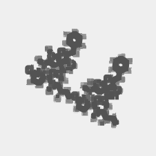 CC[C@H](C)[C@@H](CONC(CCSC)(C(=O)O)C(=O)CCc1ccccc1)N(C)C(=O)[C@@H]1CCC(=O)N1.CC[C@H](C)[C@@H](CON[C@@](CCSC)(C(=O)CCc1ccccc1)C(=O)OC)N(C)C(=O)[C@@H]1CCC(=O)N1